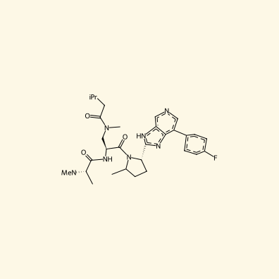 CN[C@@H](C)C(=O)N[C@@H](CN(C)C(=O)CC(C)C)C(=O)N1C(C)CC[C@H]1c1nc2c(-c3ccc(F)cc3)cncc2[nH]1